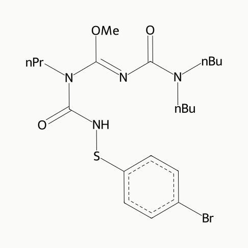 CCCCN(CCCC)C(=O)N=C(OC)N(CCC)C(=O)NSc1ccc(Br)cc1